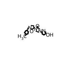 Cc1ccc(CN2CC[C@@H](N3CCN(c4ccc(O)cn4)CC3=O)C2=O)cc1